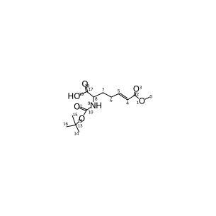 COC(=O)C=CCCC(NC(=O)OC(C)(C)C)C(=O)O